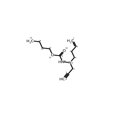 C#CCN(CCC=C)NC(=O)OCCCC